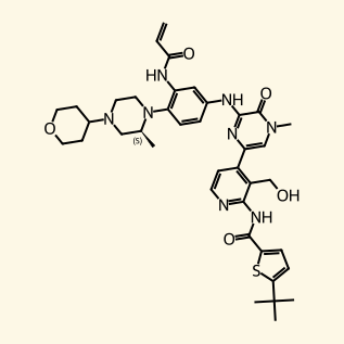 C=CC(=O)Nc1cc(Nc2nc(-c3ccnc(NC(=O)c4ccc(C(C)(C)C)s4)c3CO)cn(C)c2=O)ccc1N1CCN(C2CCOCC2)C[C@@H]1C